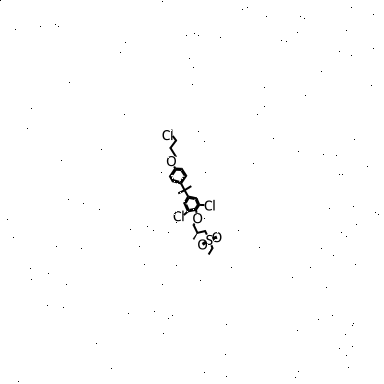 CCS(=O)(=O)C[C@@H](C)COc1c(Cl)cc(C(C)(C)c2ccc(OCCCCl)cc2)cc1Cl